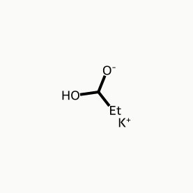 CCC([O-])O.[K+]